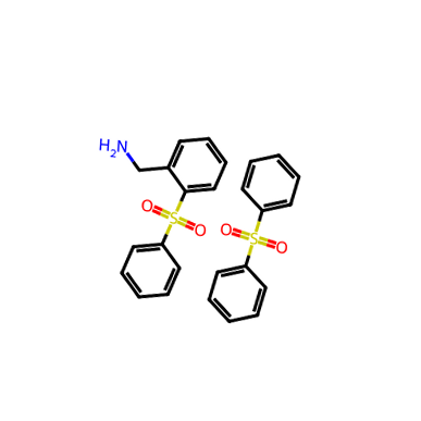 NCc1ccccc1S(=O)(=O)c1ccccc1.O=S(=O)(c1ccccc1)c1ccccc1